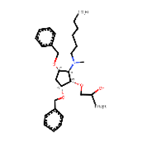 CCCCCCCC(O)CO[C@H]1[C@H](N(C)CCCCCC(=O)OCC)[C@@H](OCc2ccccc2)C[C@H]1OCc1ccccc1